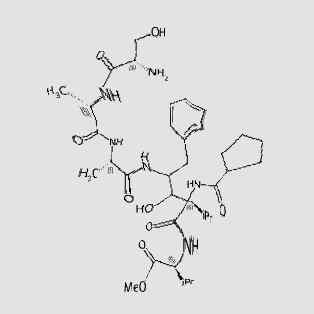 COC(=O)[C@@H](NC(=O)[C@](NC(=O)C1CCCC1)(C(C)C)C(O)C(Cc1ccccc1)NC(=O)[C@H](C)NC(=O)[C@H](C)NC(=O)[C@@H](N)CO)C(C)C